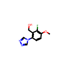 COc1ccc(-n2cnnc2)c(CO)c1F